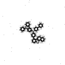 c1ccc(-c2ccc(N(c3ccc(-c4cccc5oc6c7ccccc7ccc6c45)cc3)c3ccc4c(c3)c3ccccc3n4-c3ccccc3)cc2)cc1